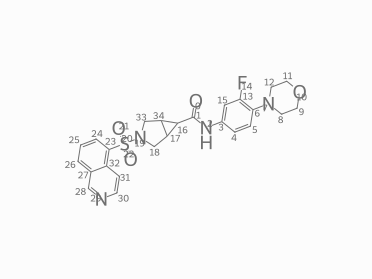 O=C(Nc1ccc(N2CCOCC2)c(F)c1)C1C2CN(S(=O)(=O)c3cccc4cnccc34)CC21